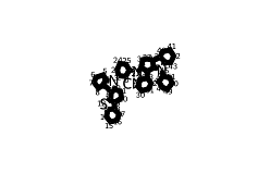 N#Cc1c(-n2c3ccccc3c3c4sc5ccccc5c4ccc32)cccc1-n1c2ccccc2c2c1ccc1c3ccccc3n(-c3ccccc3)c12